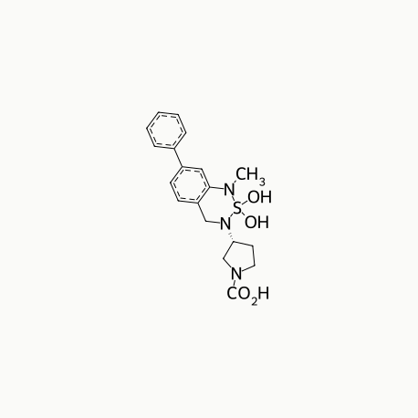 CN1c2cc(-c3ccccc3)ccc2CN([C@@H]2CCN(C(=O)O)C2)S1(O)O